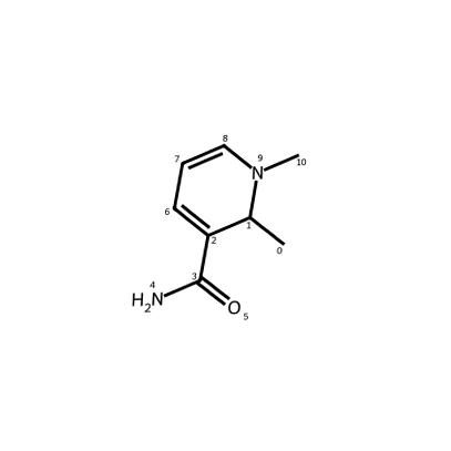 CC1C(C(N)=O)=CC=CN1C